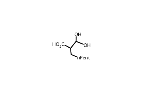 CCCCCCC(C(=O)O)C(O)O